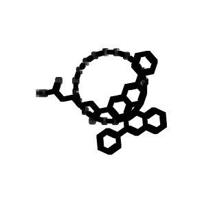 O=C(O)CCCCC(=O)c1ccc2c3c(c(-c4ccccc4)cc2c1)OCCOCCOCCOCCOCCOc1c(-c2ccccc2)cc2ccccc2c1-3